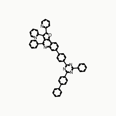 c1ccc(-c2ccc(-c3nc(-c4ccccc4)nc(-c4ccc(-c5ccc6c(c5)nc(-c5ccccc5)c5c(-c7ccccn7)c(-c7ccccn7)oc56)cc4)n3)cc2)cc1